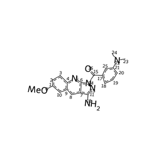 COc1ccc2nc3c(cc2c1)c(N)nn3C(=O)c1cccc(N(C)C)c1